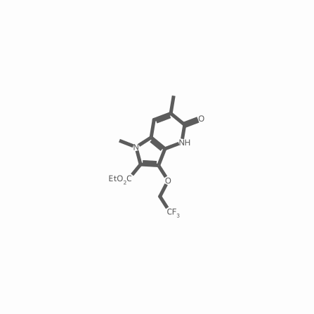 CCOC(=O)c1c(OCC(F)(F)F)c2[nH]c(=O)c(C)cc2n1C